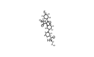 CCCNC(=O)c1cccc(-c2ccc3oc(-c4ccc(F)cc4)c(C(=O)NC)c3c2)c1